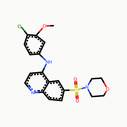 COc1cc(Nc2ccnc3ccc(S(=O)(=O)N4CCOCC4)cc23)ccc1Cl